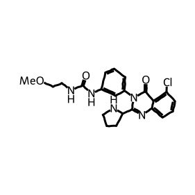 COCCNC(=O)Nc1cccc(-n2c(C3CCCN3)nc3cccc(Cl)c3c2=O)c1